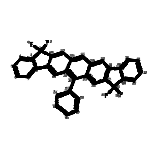 FC1(F)c2ccccc2-c2cc3c(-c4ccccc4)c4cc5c(cc4cc3cc21)-c1ccccc1C5(F)F